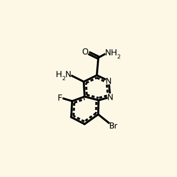 NC(=O)c1nnc2c(Br)ccc(F)c2c1N